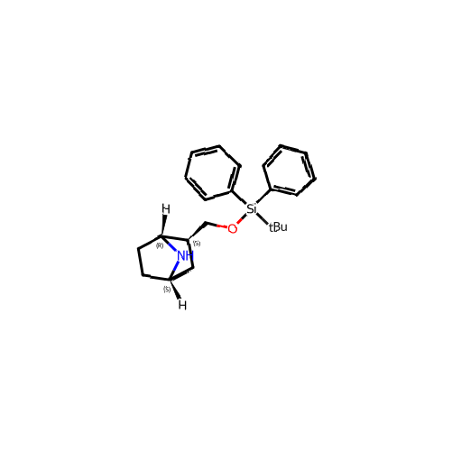 CC(C)(C)[Si](OC[C@H]1C[C@@H]2CC[C@H]1N2)(c1ccccc1)c1ccccc1